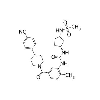 Cc1ccc(C(=O)N2CCC(c3ccc(C#N)cc3)CC2)cc1NC(=O)N[C@H]1CC[C@H](NS(C)(=O)=O)C1